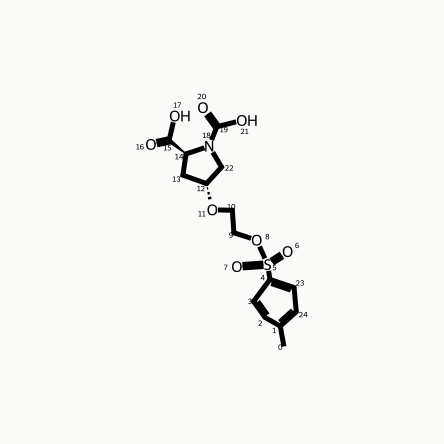 Cc1ccc(S(=O)(=O)OCCO[C@@H]2C[C@@H](C(=O)O)N(C(=O)O)C2)cc1